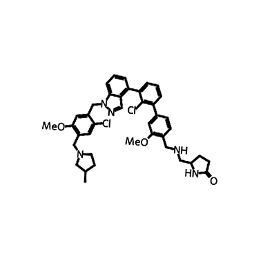 COc1cc(-c2cccc(-c3cccc4c3cnn4Cc3cc(OC)c(CN4CCC(C)C4)cc3Cl)c2Cl)ccc1CNCC1CCC(=O)N1